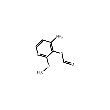 COc1nccc(N)c1OC=O